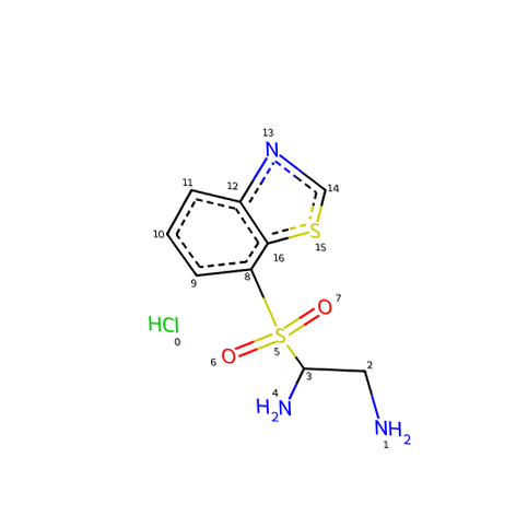 Cl.NCC(N)S(=O)(=O)c1cccc2ncsc12